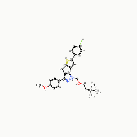 COc1ccc(-c2nn(COCC[Si](C)(C)C)c3c2Cc2sc(-c4ccc(F)cc4)cc2-3)cc1